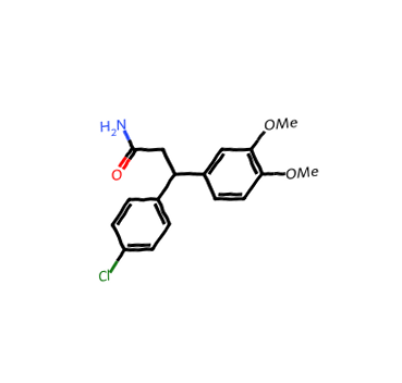 COc1ccc(C(CC(N)=O)c2ccc(Cl)cc2)cc1OC